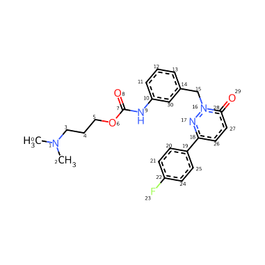 CN(C)CCCOC(=O)Nc1cccc(Cn2nc(-c3ccc(F)cc3)ccc2=O)c1